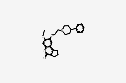 COc1cc2oc(=O)c3c(c2cc1OCCN1CCC(c2ccccc2)CC1)CCC3